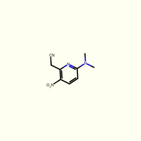 CN(C)c1ccc([N+](=O)[O-])c(CC#N)n1